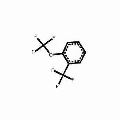 FC(F)(F)Oc1cc[c]cc1C(F)(F)F